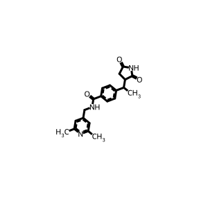 Cc1cc(CNC(=O)c2ccc(C(C)C3CC(=O)NC3=O)cc2)cc(C)n1